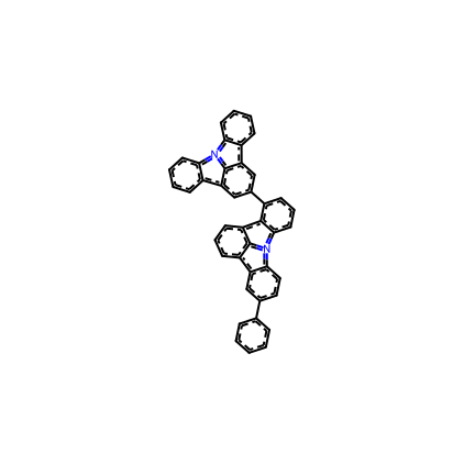 c1ccc(-c2ccc3c(c2)c2cccc4c5c(-c6cc7c8ccccc8n8c9ccccc9c(c6)c78)cccc5n3c24)cc1